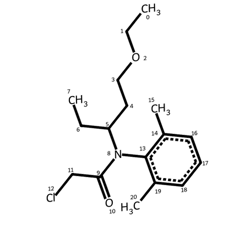 CCOCCC(CC)N(C(=O)CCl)c1c(C)cccc1C